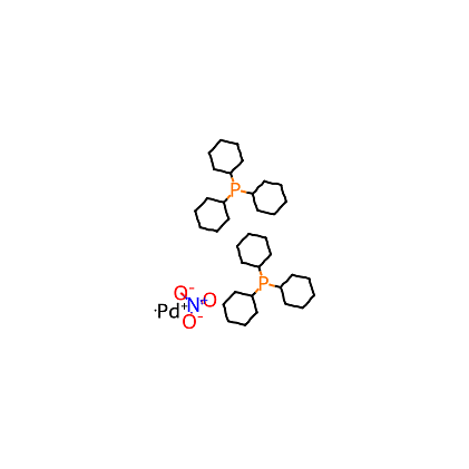 C1CCC(P(C2CCCCC2)C2CCCCC2)CC1.C1CCC(P(C2CCCCC2)C2CCCCC2)CC1.O=[N+]([O-])[O-].[Pd+]